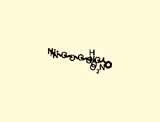 CC(COC(=O)NOCCOCCOCCOCCN=[N+]=[N-])c1ccccc1[N+](=O)[O-]